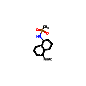 CC(=O)Nc1cccc2c(NS(C)(=O)=O)cccc12